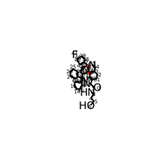 O=C(NCCCO)c1nn(C(c2ccccc2)(c2ccccc2)c2ccccc2)c2c1CCc1cnc(-c3ccc(F)cc3)nc1-2